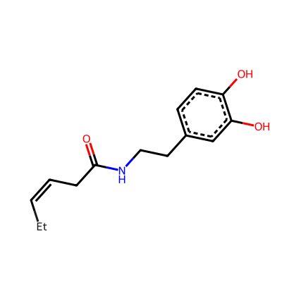 CC/C=C\CC(=O)NCCc1ccc(O)c(O)c1